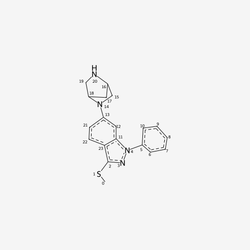 CSc1nn(-c2ccccc2)c2cc(N3CC4CC3CN4)ccc12